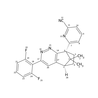 CC1(C)[C@H]2CC[C@]1(c1cccc(C#N)n1)c1nnc(-c3c(F)cccc3F)cc12